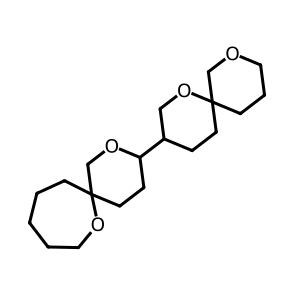 C1CCOC2(CC1)CCC(C1CCC3(CCCOC3)OC1)OC2